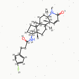 CN1C(=O)C=C[C@]2(C)[C@H]3CC[C@]4(C)[C@@H](NC(=O)CCc5ccc(F)cc5)CC[C@H]4[C@@H]3CC[C@@H]12